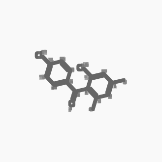 Cc1cc(C)c(C(=O)c2ccc(Cl)cc2)c(Cl)c1